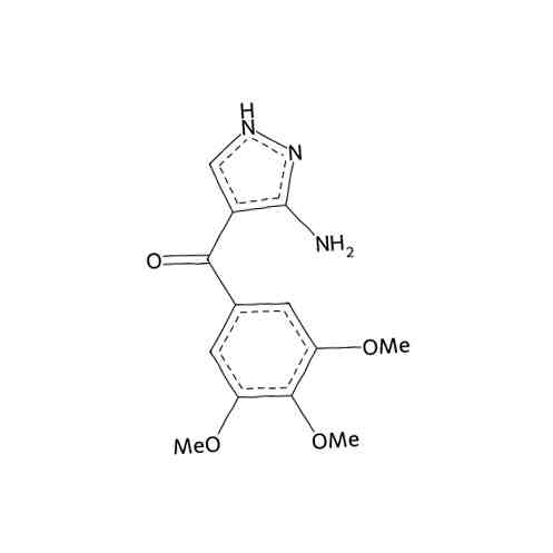 COc1cc(C(=O)c2c[nH]nc2N)cc(OC)c1OC